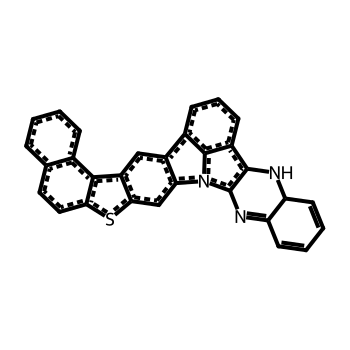 C1=CC2=Nc3c(c4cccc5c6cc7c(cc6n3c45)sc3ccc4ccccc4c37)NC2C=C1